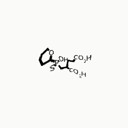 O=C(O)CCC(CP(O)(=S)C1CCCCO1)C(=O)O